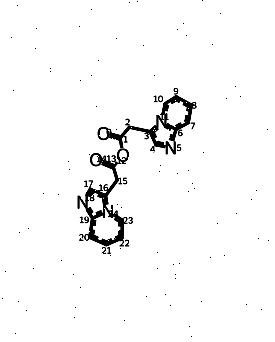 O=C(Cc1cnc2ccccn12)OC(=O)Cc1cnc2ccccn12